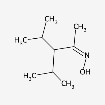 C/C(=N/O)C(C(C)C)C(C)C